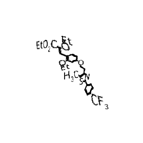 CCOC(=O)C(Cc1ccc(OCCc2nc(-c3ccc(C(F)(F)F)cc3)sc2C)cc1OCC)OCC